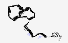 C/C=C/C=[C]\c1cccc2ccccc12